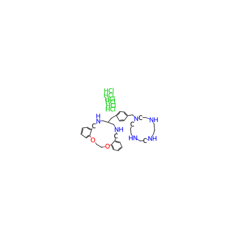 Cl.Cl.Cl.Cl.Cl.Cl.c1ccc2c(c1)CNCC(Cc1ccc(CN3CCCNCCNCCCNCC3)cc1)CNCc1ccccc1OCCO2